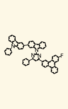 Fc1ccc2c(c1)c1ccccc1c1ccc(-c3cc(-c4ccccc4)nc(-n4c5ccccc5c5ccc(-c6ccc7c(c6)c6ccccc6n7-c6ccccc6)cc54)n3)cc12